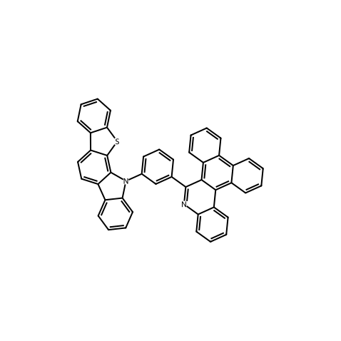 c1cc(-c2nc3ccccc3c3c4ccccc4c4ccccc4c23)cc(-n2c3ccccc3c3ccc4c5ccccc5sc4c32)c1